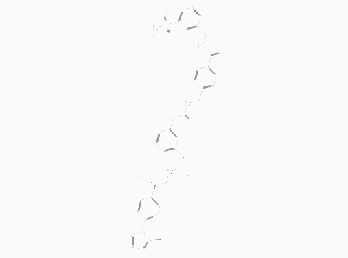 CCNS(=O)(=O)c1cccc(CNC(=O)c2ccc(CNC(=O)Cc3cccc(C[C@@H](C)NC[C@H](O)c4ccc(-n5c(C)ccc5C)nc4)c3)cc2)c1